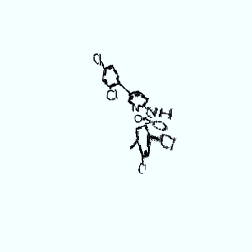 Cc1cc(S(=O)(=O)Nc2ccc(-c3ccc(Cl)cc3Cl)cn2)c(Cl)cc1Cl